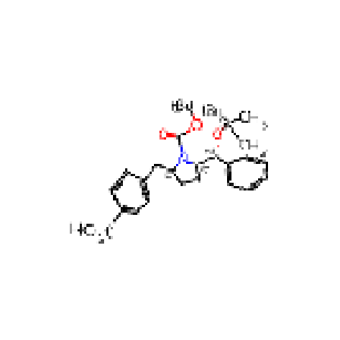 CC(C)(C)OC(=O)N1[C@H](Cc2ccc(C(=O)O)cc2)CC[C@@H]1[C@H](O[Si](C)(C)C(C)(C)C)c1ccccc1